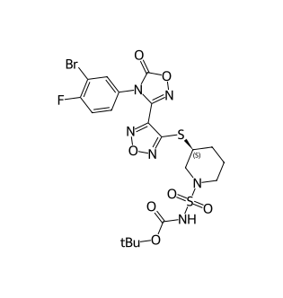 CC(C)(C)OC(=O)NS(=O)(=O)N1CCC[C@H](Sc2nonc2-c2noc(=O)n2-c2ccc(F)c(Br)c2)C1